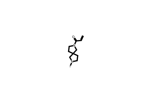 C=CC(=O)N1CCC2(CCN(I)C2)C1